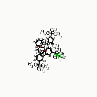 CC1C=C(C(C)(C)C)C=[C]1[Hf](=[SiH2])([c]1ccccc1)([c]1ccccc1)[c]1cc(C(C)(C)C)cc2c1Cc1ccc(C(C)(C)C)cc1-2.Cl.Cl